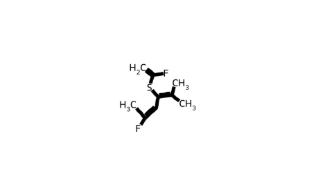 C=C(F)SC(/C=C(\C)F)=C(C)C